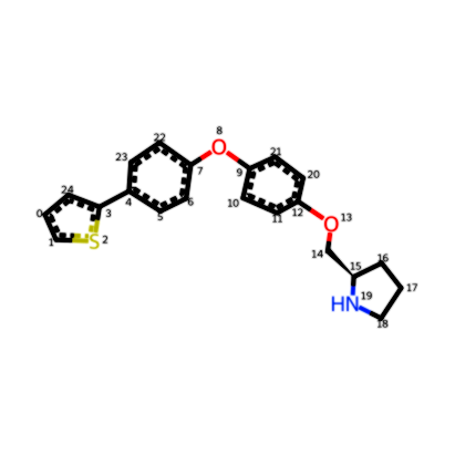 c1csc(-c2ccc(Oc3ccc(OC[C@H]4CCCN4)cc3)cc2)c1